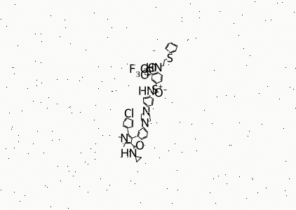 Cc1c(C(=O)NC2CC2)c(-c2cccc(N3CCN(c4ccc(N[S+]([O-])c5ccc(NCCSc6ccccc6)c(S(=O)(=O)C(F)(F)F)c5)cc4)CC3)c2)c(-c2ccc(Cl)cc2)n1C